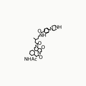 CC(=O)NC(C(=O)N1CC(=O)C2C1CCN2C(=O)CC(C)CCNC(=O)c1ccc(N2CCNCC2)cc1)C1CCCCC1